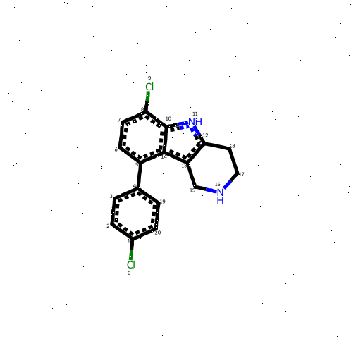 Clc1ccc(-c2ccc(Cl)c3[nH]c4c(c23)CNCC4)cc1